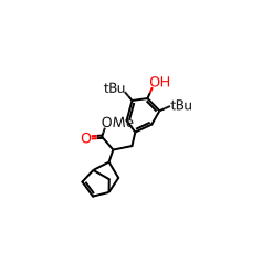 COC(=O)C(Cc1cc(C(C)(C)C)c(O)c(C(C)(C)C)c1)C1CC2C=CC1C2